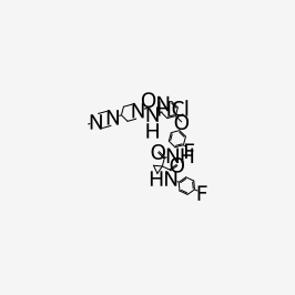 CN1CCN(C2CCN(C(=O)Nc3cc(Oc4ccc(NC(=O)C5(C(=O)Nc6ccc(F)cc6)CC5)c(F)c4)ccn3)CC2)CC1.Cl